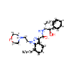 COC[C@H](NC(=O)c1nn(CCN2CCOCC2)c2c(OC)cccc12)[C@H](O)c1ccccc1